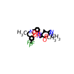 COC(=O)c1cnn(-c2cccc(CN3CC(C)Cc4cc(C(F)(F)F)ccc4S3(O)O)c2)c1C1CC1c1cnn(C)c1